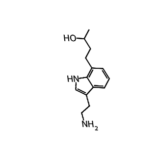 CC(O)CCc1cccc2c(CCN)c[nH]c12